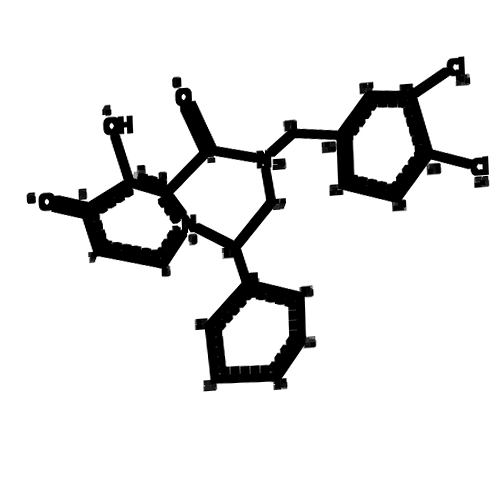 O=C1c2c(O)c(=O)ccn2C(c2ccccc2)CN1Cc1ccc(Cl)c(Cl)c1